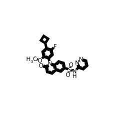 COc1cc(C2CCC2)c(F)cc1-n1c(=O)ccc2cc(S(=O)(=O)Nc3cccnn3)ccc21